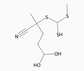 CSC(S)SC(C)(C#N)CCC(O)O